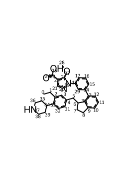 CCc1cc(CC2CCc3cccc(-c4cccc(-n5ncc(C(=O)O)c5OC)c4)c32)ccc1C1CCNCC1